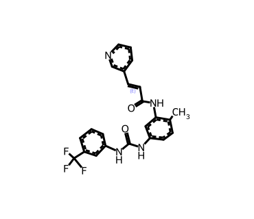 Cc1ccc(NC(=O)Nc2cccc(C(F)(F)F)c2)cc1NC(=O)/C=C/c1cccnc1